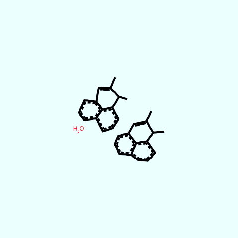 CC1=Cc2cccc3cccc(c23)C1C.CC1=Cc2cccc3cccc(c23)C1C.O